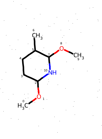 COC1CCC(C)C(OC)N1